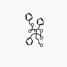 O=CCCC1(Cc2ccccc2)C(=O)OC(c2ccccc2)N1C(=O)OCc1ccccc1